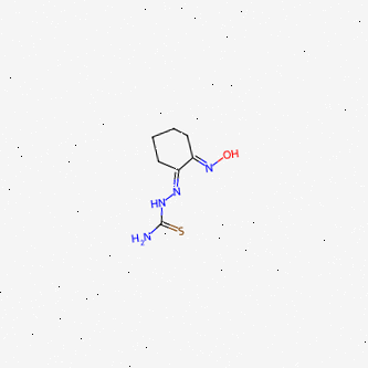 NC(=S)NN=C1CCCCC1=NO